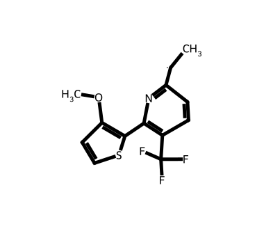 C[CH]c1ccc(C(F)(F)F)c(-c2sccc2OC)n1